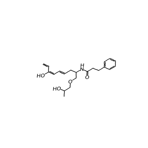 C=C/C(O)=C\C=C\CC(COCC(C)O)NC(=O)CCc1ccccc1